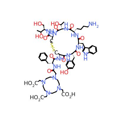 CC(O)[C@@H]1NC(=O)[C@H](CCCCN)NC(=O)[C@@H](Cc2c[nH]c3ccccc23)NC(=O)[C@H](Cc2ccc(O)cc2)NC(=O)[C@@H](NC(=O)[C@@H](Cc2ccccc2)NC(=O)CN2CCN(CC(=O)O)CCN(CC(=O)O)CCN(CC(=O)O)CC2)CSSC[C@@H](C(=O)N[C@H](CO)C(C)O)NC1=O